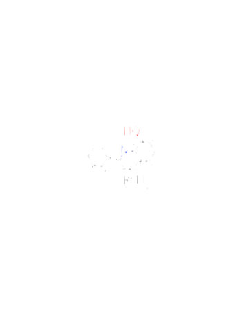 Oc1cccc2ccc(-c3ccccc3)nc12.[PbH2]